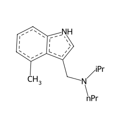 CCCN(Cc1c[nH]c2cccc(C)c12)C(C)C